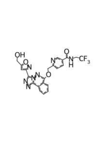 O=C(NCC(F)(F)F)c1ccc(COc2nn3c(-c4cc(CO)on4)nnc3c3ccccc23)nc1